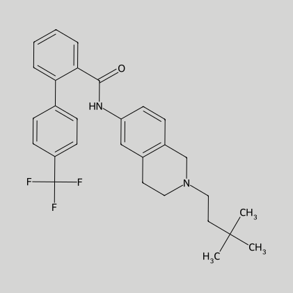 CC(C)(C)CCN1CCc2cc(NC(=O)c3ccccc3-c3ccc(C(F)(F)F)cc3)ccc2C1